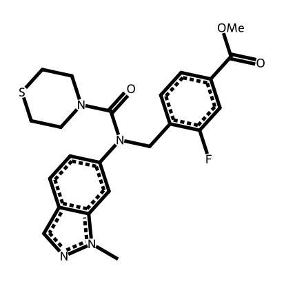 COC(=O)c1ccc(CN(C(=O)N2CCSCC2)c2ccc3cnn(C)c3c2)c(F)c1